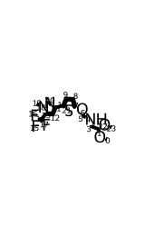 COC(CNCOc1ccc(-c2cc(C(F)(F)F)n(C)n2)s1)OC